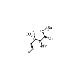 CC=CC(C(=O)O)C(CCC)C(=O)OC(C)(C)C